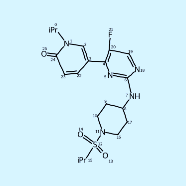 CC(C)n1cc(-c2nc(NC3CCN(S(=O)(=O)C(C)C)CC3)ncc2F)ccc1=O